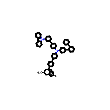 C[C@H]1CC2C[C@@H]3C[C@@H]2C(c2ccc(-c4ccc(N(c5ccc(-c6cccc(-n7c8ccccc8c8ccccc87)c6)cc5)c5ccc(-c6ccccc6-c6ccccc6)cc5)cc4)cc2)(C1)C3